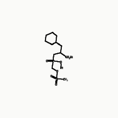 CCOC(=O)C(CC1CCCCC1)CP(=O)(COS(C)(=O)=O)OCC